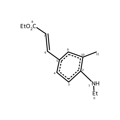 CCNc1ccc(C=CC(=O)OCC)cc1C